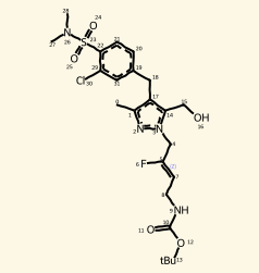 Cc1nn(C/C(F)=C/CNC(=O)OC(C)(C)C)c(CO)c1Cc1ccc(S(=O)(=O)N(C)C)c(Cl)c1